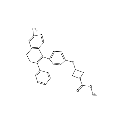 Cc1ccc2c(c1)CCC(c1ccccc1)=C2c1ccc(OC2CN(C(=O)OC(C)(C)C)C2)cc1